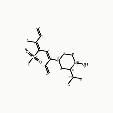 C=C/C(=C\C(=C(\C)C=C)S(C)(=O)=O)N1CCN(O)C(C(C)C)C1